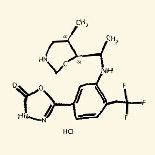 CC(Nc1cc(-c2n[nH]c(=O)o2)ccc1C(F)(F)F)[C@H]1CCNC[C@H]1C.Cl